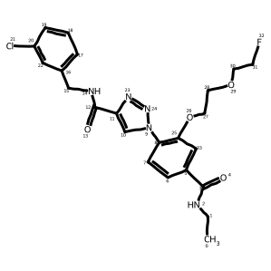 CCNC(=O)c1ccc(-n2cc(C(=O)NCc3cccc(Cl)c3)nn2)c(OCCOCCF)c1